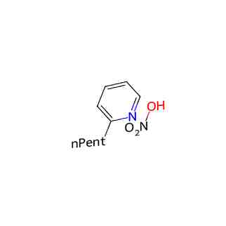 CCCCCc1ccccn1.O=[N+]([O-])O